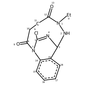 CCN1NC2N=C(Cl)N(C(=O)CCC1=O)c1ccccc12